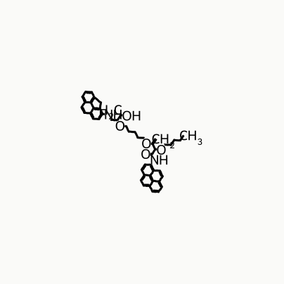 C=C(O)C(CNc1ccc2ccc3cccc4c3c2c1C4)OCCCCCOC(=C)C(OCCCCC)C(=O)Nc1ccc2ccc3cccc4ccc1c2c34